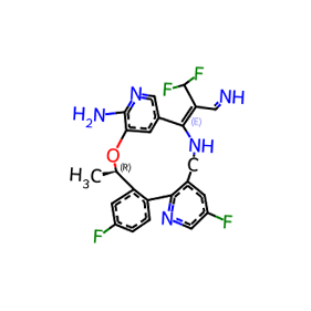 C[C@H]1Oc2cc(cnc2N)/C(=C(/C=N)C(F)F)NCc2cc(F)cnc2-c2ccc(F)cc21